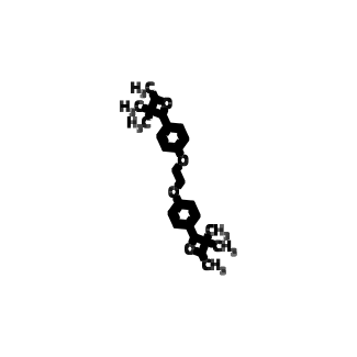 CC1OC(c2ccc(OCCOc3ccc(C4OC(C)C4(C)C)cc3)cc2)C1(C)C